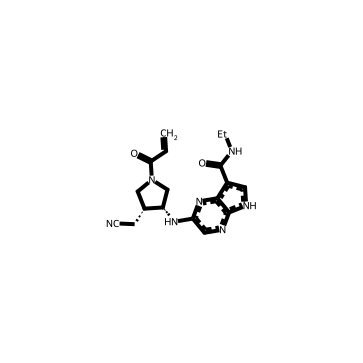 C=CC(=O)N1C[C@@H](CC#N)[C@@H](Nc2cnc3[nH]cc(C(=O)NCC)c3n2)C1